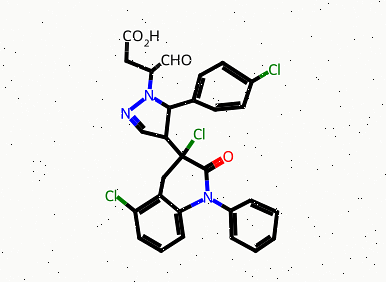 O=CC(CC(=O)O)N1N=CC(C2(Cl)Cc3c(Cl)cccc3N(c3ccccc3)C2=O)C1c1ccc(Cl)cc1